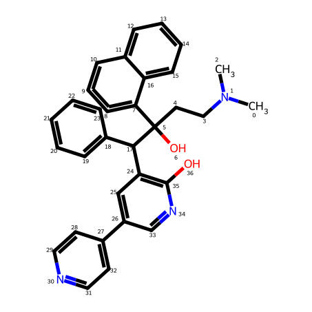 CN(C)CCC(O)(C1=C=C=Cc2ccccc21)C(c1ccccc1)c1cc(-c2ccncc2)cnc1O